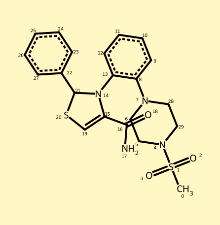 CS(=O)(=O)N1CCN(c2ccccc2N2C(C(N)=O)=CSC2c2ccccc2)CC1